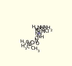 Cc1c(C)n(C)c2ccc(C(=O)N3CCC4(CC3)CN/C(=N\C(=O)c3nc(Cl)c(N)nc3N)N4)cc12